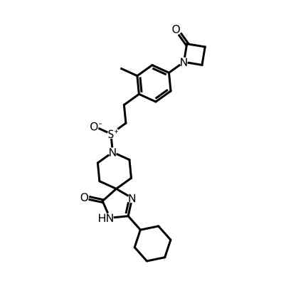 Cc1cc(N2CCC2=O)ccc1CC[S+]([O-])N1CCC2(CC1)N=C(C1CCCCC1)NC2=O